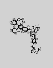 CC1(C)CCC(NC(=O)c2ccc3c(C4CCCCC4)c4n(c3c2)CCOc2ccccc2-4)(C(=O)Nc2ccc(C=CC(=O)O)cc2)CC1